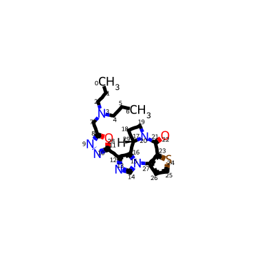 CCCN(CCC)Cc1nnc(-c2ncn3c2[C@@H]2CCN2C(=O)c2sccc2-3)o1